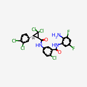 Nc1c(F)cc(F)cc1NC(=O)c1cc(NC(=O)C2[C@H](c3ccc(Cl)c(Cl)c3)C2(Cl)Cl)ccc1Cl